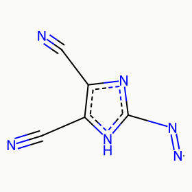 [N]=Nc1nc(C#N)c(C#N)[nH]1